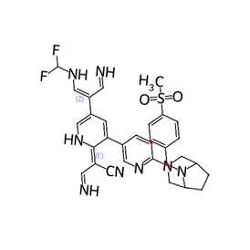 CS(=O)(=O)c1ccc(CN2C3CCC2CN(c2ccc(C4=CC(/C(C=N)=C/NC(F)F)=CN/C4=C(/C#N)C=N)cn2)C3)cc1